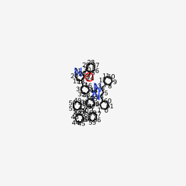 c1ccc(-c2cc(-c3ccccc3)nc(-c3cc(-c4ccnc5c4oc4ccccc45)ccc3-c3ccc4c(c3)C(c3ccccc3)(c3ccccc3)c3ccccc3-4)n2)cc1